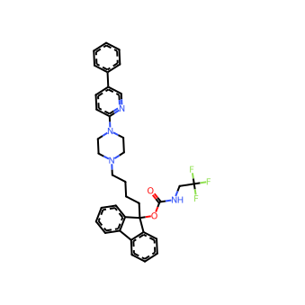 O=C(NCC(F)(F)F)OC1(CCCCN2CCN(c3ccc(-c4ccccc4)cn3)CC2)c2ccccc2-c2ccccc21